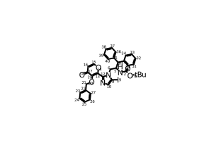 CC(C)(C)OC(=O)NC(Cn1c(I)cnc1-c1occc(=O)c1OCc1ccccc1)C(c1ccccc1)c1ccccc1